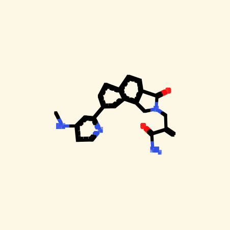 C=C(CN1Cc2c(ccc3ccc(-c4cc(NC)ccn4)cc23)C1=O)C(N)=O